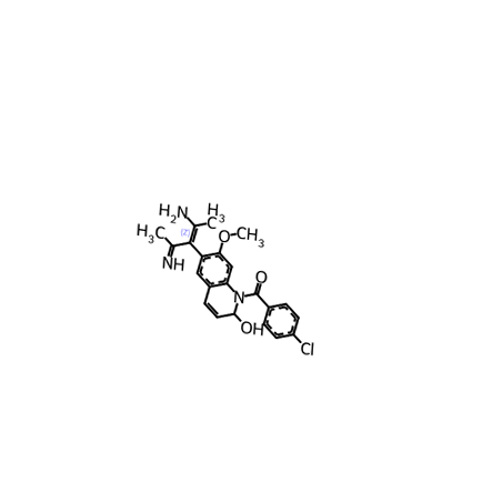 COc1cc2c(cc1/C(C(C)=N)=C(\C)N)C=CC(O)N2C(=O)c1ccc(Cl)cc1